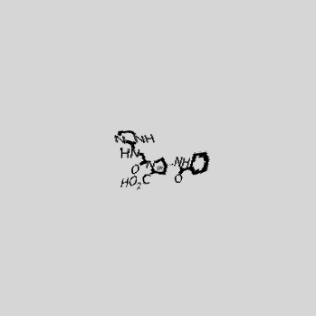 O=C(N[C@@H]1CC(C(=O)O)N(C(=O)CNC2=NCCN2)C1)c1ccccc1